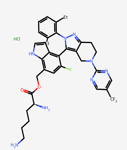 CCc1cccc(CC)c1-n1nc2c(c1-c1c(F)cc(COC(=O)[C@@H](N)CCCCN)c3[nH]ccc13)CN(c1ncc(C(F)(F)F)cn1)CC2.Cl